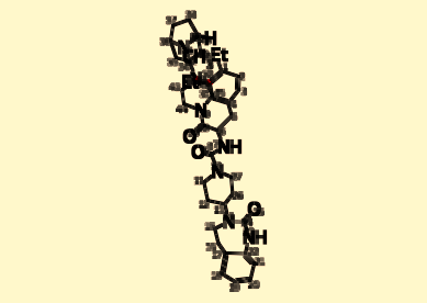 CCc1ccc(CC(NC(=O)N2CCC(N3CCc4ccccc4NC3=O)CC2)C(=O)N2CCN(C3CC4CC[C@H](C3)N4C)CC2)cc1CC